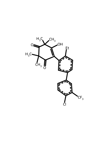 CCc1ccc(-c2ccc(Cl)c(C(F)(F)F)c2)cc1C1=C(O)C(C)(C)C(=O)C(C)(C)C1=O